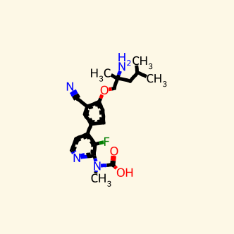 CC(C)CC(C)(N)COc1ccc(-c2ccnc(N(C)C(=O)O)c2F)cc1C#N